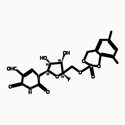 Cc1cc(C)c2c(c1)COP(=O)(OC[C@@]1(F)O[C@@H](n3cc(C=O)c(=O)[nH]c3=O)[C@H](O)[C@@H]1O)O2